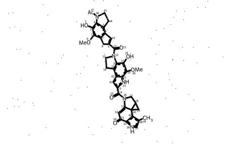 COc1c(O)c2c(c3c1CC(C(=O)N1CCc4c1c(O)c(OC)c1[nH]c(C(=O)N5CC6CC67C5=CC(=O)c5[nH]cc(C)c57)cc41)=C3)CCN2C(C)=O